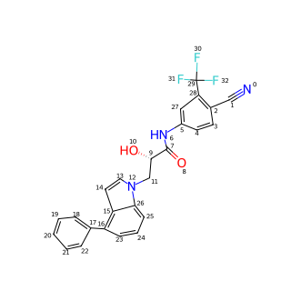 N#Cc1ccc(NC(=O)[C@@H](O)Cn2ccc3c(-c4ccccc4)cccc32)cc1C(F)(F)F